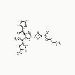 C=CCOC(=O)N1CC(c2cc(N(C)c3ccc(Cl)s3)n(C(=O)c3cscn3)n2)C1